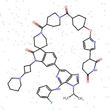 CC(C)n1cnc2cc(-c3ccc4c(c3)N(C3CC(N5CCCCC5)C3)C(=O)C43CCN(C(=O)C4CCN(C(=O)C5CCC(Oc6ccc(C7CCC(=O)NC7=O)cn6)CC5)CC4)CC3)nc(Nc3ccccc3F)c21